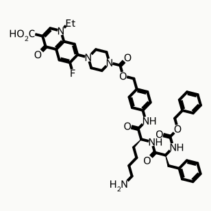 CCn1cc(C(=O)O)c(=O)c2cc(F)c(N3CCN(C(=O)OCc4ccc(NC(=O)[C@H](CCCCN)NC(=O)[C@H](Cc5ccccc5)NC(=O)OCc5ccccc5)cc4)CC3)cc21